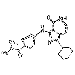 CN([S+]([O-])c1ccc(Nc2nn(C3CCCCC3)c3cc[nH]c(=O)c23)cc1)C(C)(C)C